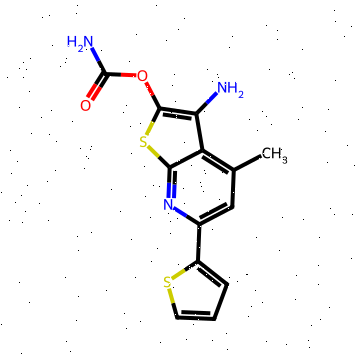 Cc1cc(-c2cccs2)nc2sc(OC(N)=O)c(N)c12